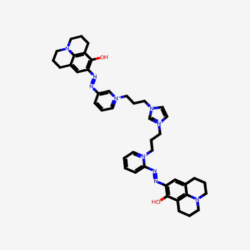 Oc1c(N=Nc2ccc[n+](CCCn3cc[n+](CCC[n+]4ccccc4N=Nc4cc5c6c(c4O)CCCN6CCC5)c3)c2)cc2c3c1CCCN3CCC2